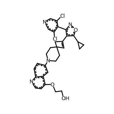 OCCOc1ccnc2ccc(N3CCC4(C=C(c5c(-c6c(Cl)cncc6Cl)noc5C5CC5)C4)CC3)cc12